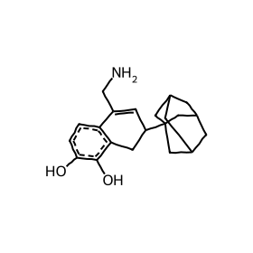 NCC1=CC(C23CC4CC(CC(C4)C2)C3)Cc2c1ccc(O)c2O